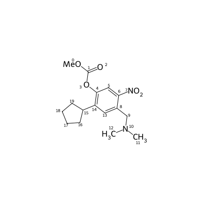 COC(=O)Oc1cc([N+](=O)[O-])c(CN(C)C)cc1C1CCCC1